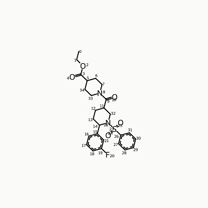 CCOC(=O)C1CCN(C(=O)C2CCC(c3cccc(F)c3)N(S(=O)(=O)c3ccccc3)C2)CC1